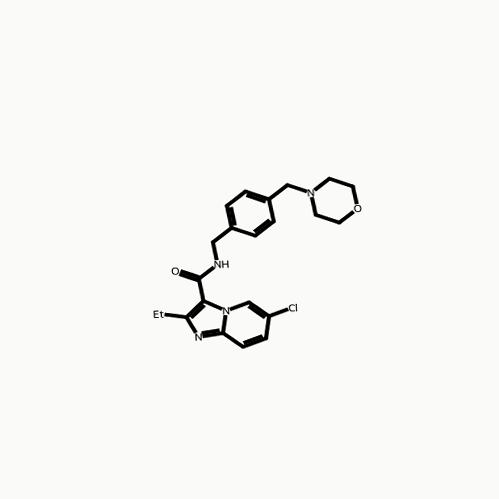 CCc1nc2ccc(Cl)cn2c1C(=O)NCc1ccc(CN2CCOCC2)cc1